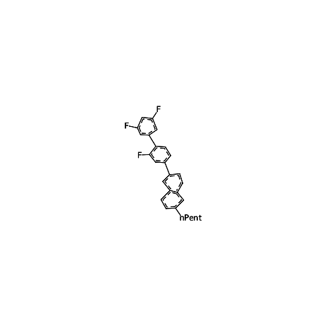 CCCCCc1ccc2cc(-c3ccc(-c4cc(F)cc(F)c4)c(F)c3)ccc2c1